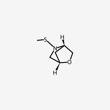 CSN1C[C@@H]2C[C@H]1CO2